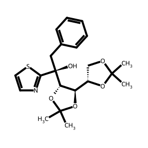 CC1(C)OC[C@@H]([C@H]2OC(C)(C)O[C@@H]2[C@@](O)(Cc2ccccc2)c2nccs2)O1